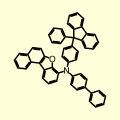 c1ccc(-c2ccc(N(c3ccc(C4(c5ccccc5)c5ccccc5-c5ccccc54)cc3)c3cccc4c3oc3ccc5ccccc5c34)cc2)cc1